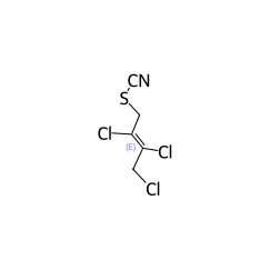 N#CSC/C(Cl)=C(\Cl)CCl